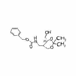 CC1(C)OCC(CNC(=O)OCc2ccccc2)[C@H](CO)O1